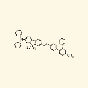 CCC1(CC)c2cc(/C=C/c3ccc(-c4ccc(C)cc4-c4ccccc4)cc3)ccc2-c2ccc(N(c3ccccc3)c3ccccc3)cc21